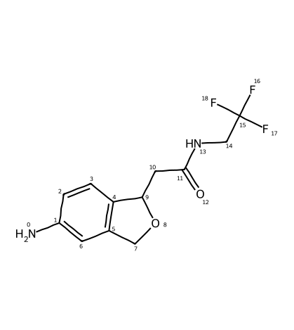 Nc1ccc2c(c1)COC2CC(=O)NCC(F)(F)F